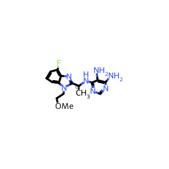 COCCn1c([C@H](C)Nc2ncnc(N)c2N)nc2c(F)cccc21